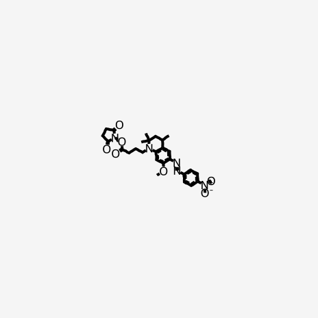 COc1cc2c(cc1N=Nc1ccc([N+](=O)[O-])cc1)C(C)CC(C)(C)N2CCCC(=O)ON1C(=O)CCC1=O